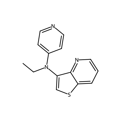 CCN(c1ccncc1)c1csc2cccnc12